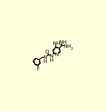 N=C(N)c1cnc(NC(=O)NCc2cccc(F)c2)cc1N